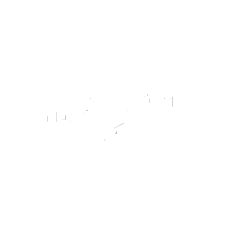 CCCCCCCCCC=C(C)CCC(C)CCCC